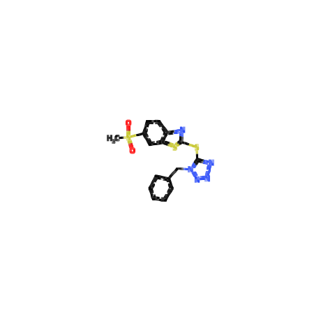 CS(=O)(=O)c1ccc2nc(Sc3nnnn3Cc3ccccc3)sc2c1